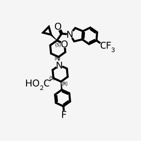 O=C(O)[C@@H]1CN([C@@H]2CC[C@@](C(=O)N3Cc4ccc(C(F)(F)F)cc4C3)(C3CC3)OC2)CC[C@H]1c1ccc(F)cc1